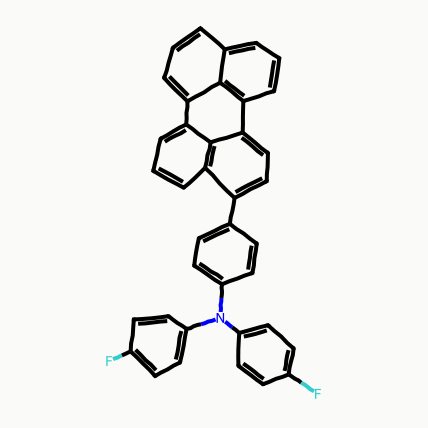 Fc1ccc(N(c2ccc(F)cc2)c2ccc(-c3ccc4c5cccc6cccc(c7cccc3c74)c65)cc2)cc1